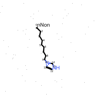 CCCCCCCCCCCCCCCCCCN1C=CNC1